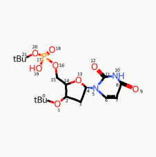 CC(C)(C)OC1C[C@H](n2ccc(=O)[nH]c2=O)OC1COP(=O)(O)OC(C)(C)C